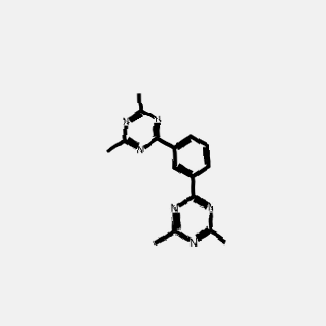 Cc1nc(C)nc(-c2cccc(-c3nc(C)nc(C)n3)c2)n1